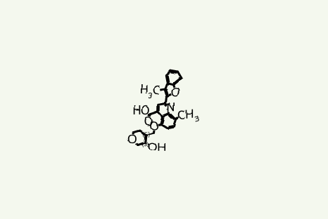 Cc1c(-c2cc(C(=O)O)c3c(OC[C@@H]4CCOC[C@H]4O)ccc(C)c3n2)oc2ccccc12